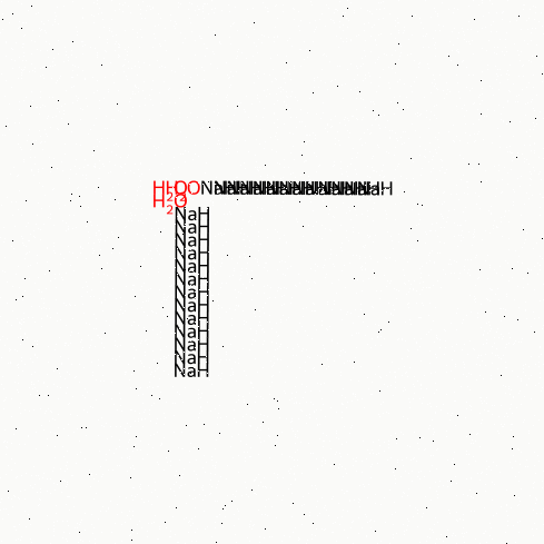 O.O.O.[NaH].[NaH].[NaH].[NaH].[NaH].[NaH].[NaH].[NaH].[NaH].[NaH].[NaH].[NaH].[NaH].[NaH].[NaH].[NaH].[NaH].[NaH].[NaH].[NaH].[NaH].[NaH].[NaH].[NaH].[NaH].[NaH]